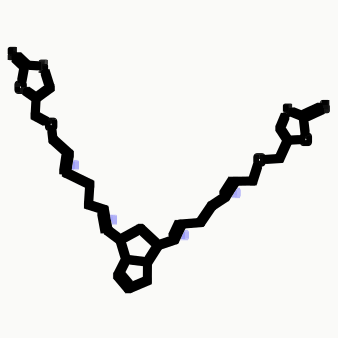 S=C1OC(COC/C=C/CC/C=C/C2CC(/C=C/CC/C=C/COCC3CSC(=S)O3)C3CC=CC23)CS1